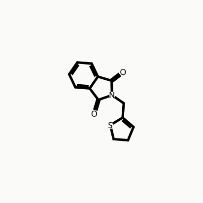 O=C1c2ccccc2C(=O)N1CC1=CCCS1